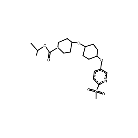 CC(C)OC(=O)N1CCC(OC2CCC(Oc3ccc(S(C)(=O)=O)nc3)CC2)CC1